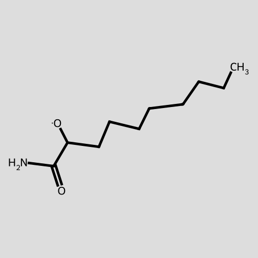 CCCCCCCCC([O])C(N)=O